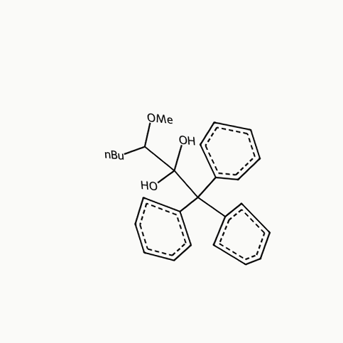 CCCCC(OC)C(O)(O)C(c1ccccc1)(c1ccccc1)c1ccccc1